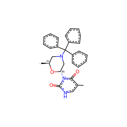 [CH2][C@H]1CN(C(c2ccccc2)(c2ccccc2)c2ccccc2)C[C@H](n2c(=O)[nH]cc(C)c2=O)O1